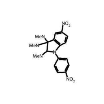 CNC1N(c2ccc([N+](=O)[O-])cc2)c2ccc([N+](=O)[O-])cc2C1(NC)NC